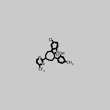 Cc1ccc(C2CCC(c3nccc(C(F)(F)F)n3)CCc3c2[nH]c2ccc(Cl)cc32)c(O)c1